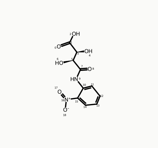 O=C(O)[C@@H](O)[C@H](O)C(=O)Nc1ccccc1[N+](=O)[O-]